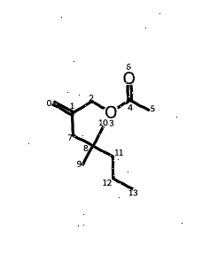 C=C(COC(C)=O)CC(C)(C)CCC